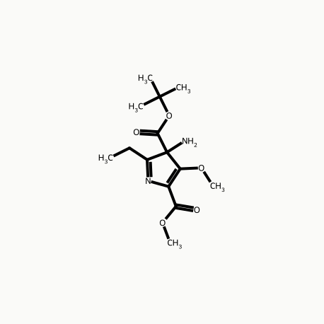 CCC1=NC(C(=O)OC)=C(OC)C1(N)C(=O)OC(C)(C)C